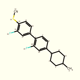 CC1CCC(c2ccc(-c3ccc(SC#N)c(F)c3)c(F)c2)CC1